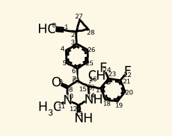 C#CC1(c2ccc([C@@H]3C(=O)N(C)C(=N)N[C@]3(C)c3cccc(F)c3F)cc2)CC1